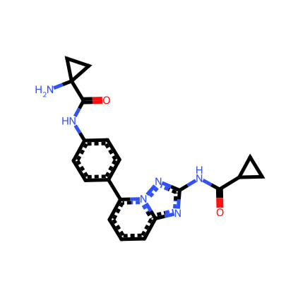 NC1(C(=O)Nc2ccc(-c3cccc4nc(NC(=O)C5CC5)nn34)cc2)CC1